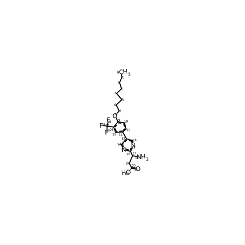 CCCCCCCCOc1ccc(-c2cnc(C(N)CC(=O)O)nc2)cc1C(F)(F)F